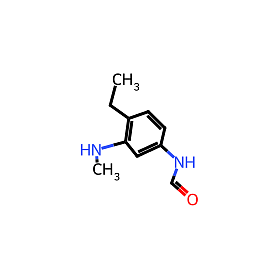 CCc1ccc(NC=O)cc1NC